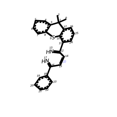 CC1(C)c2ccccc2Sc2c(C(=N)/C=C\C(=N)c3ccccc3)cccc21